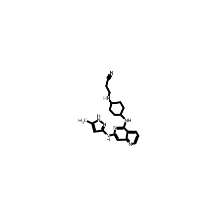 Cc1cc(Nc2cc3ncccc3c(NC3CCC(NCCC#N)CC3)n2)n[nH]1